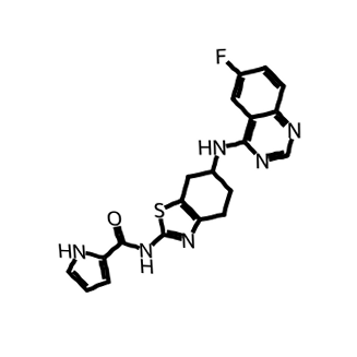 O=C(Nc1nc2c(s1)CC(Nc1ncnc3ccc(F)cc13)CC2)c1ccc[nH]1